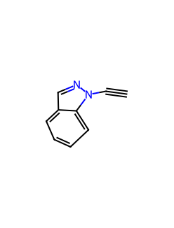 C#Cn1ncc2ccccc21